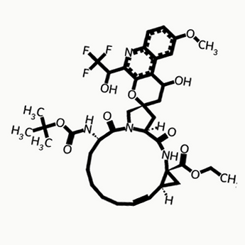 CCOC(=O)[C@@]12C[C@H]1/C=C\CCCCC[C@H](NC(=O)OC(C)(C)C)C(=O)N1C[C@@]3(CC(O)c4c(c(C(O)C(F)(F)F)nc5ccc(OC)cc45)O3)C[C@H]1C(=O)N2